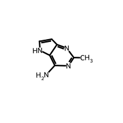 Cc1nc(N)c2[nH]ccc2n1